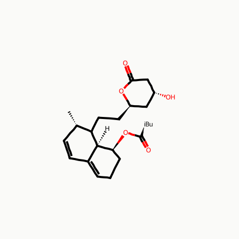 CC[C@H](C)C(=O)O[C@H]1CCC=C2C=C[C@H](C)C(CC[C@@H]3C[C@@H](O)CC(=O)O3)[C@H]21